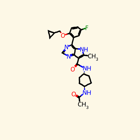 CC(=O)N[C@H]1CC[C@H](NC(=O)c2c(C)[nH]c3c(-c4cc(F)ccc4OCC4CC4)ncnc23)CC1